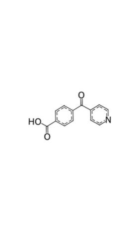 O=C(O)c1ccc(C(=O)c2ccncc2)cc1